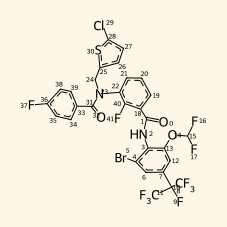 O=C(Nc1c(Br)cc(C(F)(C(F)(F)F)C(F)(F)F)cc1OC(F)F)c1cccc(N(Cc2ccc(Cl)s2)C(=O)c2ccc(F)cc2)c1F